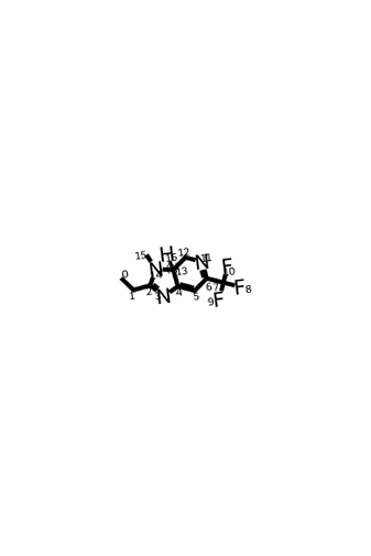 CCC1=NC2=CC(C(F)(F)F)=NC[C@H]2N1C